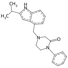 CC(C)c1cc2c(CN3CCN(c4ccccc4)C(=O)C3)cccc2[nH]1